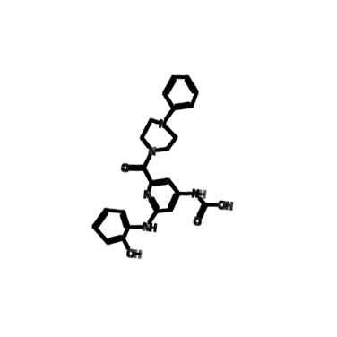 O=C(O)Nc1cc(Nc2ccccc2O)nc(C(=O)N2CCN(c3ccccc3)CC2)c1